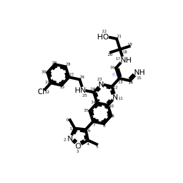 Cc1noc(C)c1-c1ccc2nc(/C(C=N)=C/NC(C)(C)CO)nc(NCc3cccc(Cl)c3)c2c1